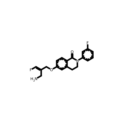 NC/C(=C\F)COc1ccc2c(c1)CCN(c1cccc(F)c1)C2=O